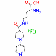 Cl.Cl.NC(CCCNC(=O)C1CCN(c2ccncc2)CC1)C(=O)O